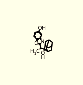 CC(c1nc2cc(O)ccc2o1)C1(O)C2CC3CC(C2)CC1C3